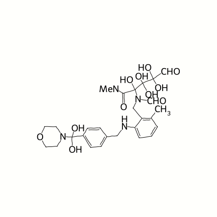 CNC(=O)C(O)(N(C=O)Cc1c(C)cccc1NCc1ccc(C(O)(O)N2CCOCC2)cc1)C(O)(O)C(O)(O)C=O